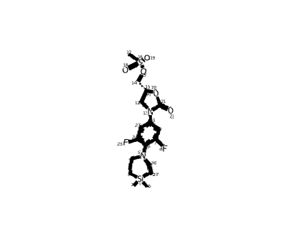 C[Si]1(C)CCN(c2c(F)cc(N3C[C@H](COS(C)(=O)=O)OC3=O)cc2F)CC1